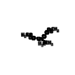 C=CC(=O)Oc1ccc(-c2ccc(N(CCN(C)C)c3ccc(-c4ccc(OC(=O)C=C)cc4)cc3)cc2)cc1